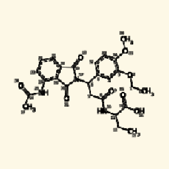 CCOc1cc(C(CC(=O)NC(CC)C(=O)O)N2C(=O)c3cccc(NC(C)=O)c3C2=O)ccc1OC